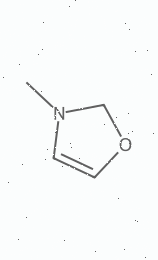 CN1C=COC1